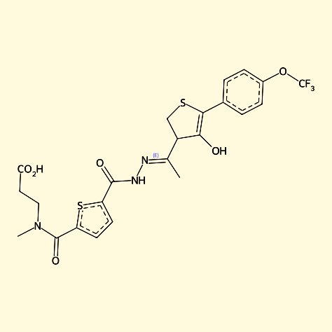 C/C(=N\NC(=O)c1ccc(C(=O)N(C)CCC(=O)O)s1)C1CSC(c2ccc(OC(F)(F)F)cc2)=C1O